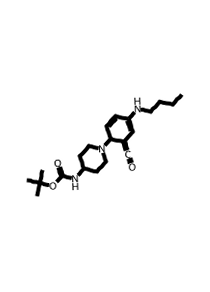 CCCCNC1=CC(=C=O)C(N2CCC(NC(=O)OC(C)(C)C)CC2)C=C1